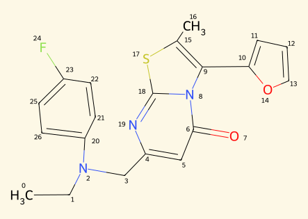 CCN(Cc1cc(=O)n2c(-c3ccco3)c(C)sc2n1)c1ccc(F)cc1